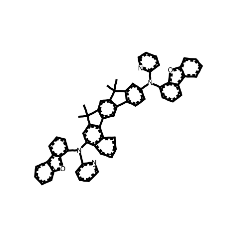 CC1(C)c2cc(N(c3ccccn3)c3cccc4c3oc3ccccc34)ccc2-c2cc3c(cc21)C(C)(C)c1cc(N(c2ccccn2)c2cccc4c2oc2ccccc24)c2ccccc2c1-3